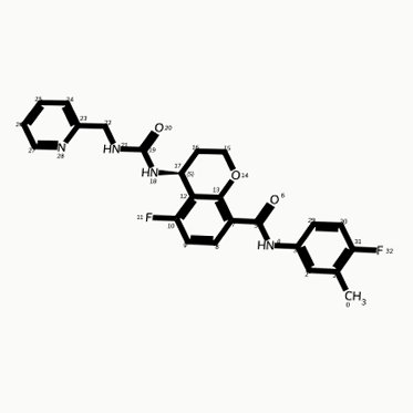 Cc1cc(NC(=O)c2ccc(F)c3c2OCC[C@@H]3NC(=O)NCc2ccccn2)ccc1F